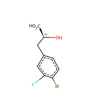 O=C(O)[C@@H](O)Cc1ccc(Br)c(F)c1